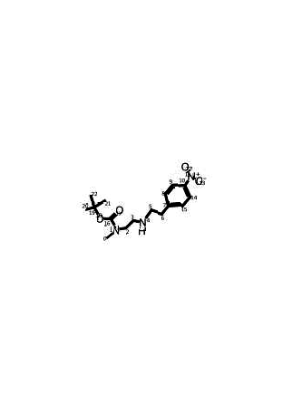 CN(CCNCCc1ccc([N+](=O)[O-])cc1)C(=O)OC(C)(C)C